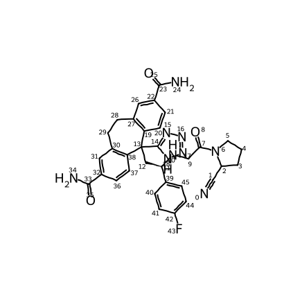 N#CC1CCCN1C(=O)CN[C@H](CC1(c2nnn[nH]2)c2ccc(C(N)=O)cc2CCc2cc(C(N)=O)ccc21)c1ccc(F)cc1